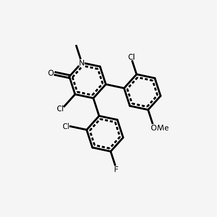 COc1ccc(Cl)c(-c2cn(C)c(=O)c(Cl)c2-c2ccc(F)cc2Cl)c1